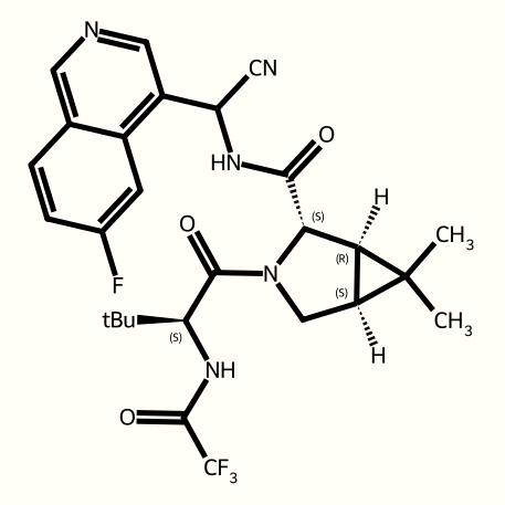 CC(C)(C)[C@H](NC(=O)C(F)(F)F)C(=O)N1C[C@H]2[C@@H]([C@H]1C(=O)NC(C#N)c1cncc3ccc(F)cc13)C2(C)C